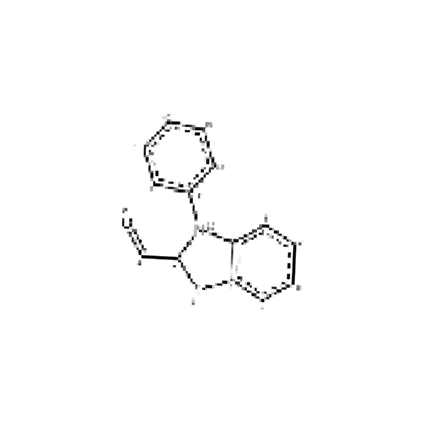 O=CC1Sc2ccccc2N1c1ccccc1